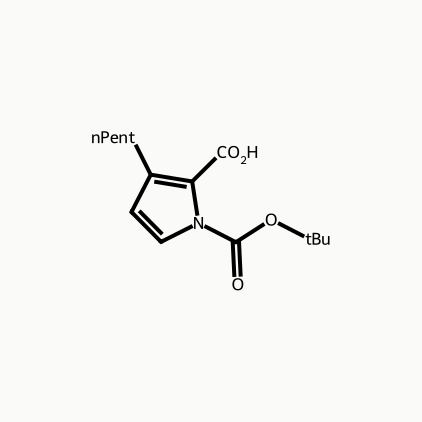 CCCCCc1ccn(C(=O)OC(C)(C)C)c1C(=O)O